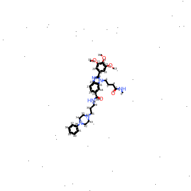 CNC(=O)CCCn1c(-c2cc(OC)c(OC)c(OC)c2)nc2ccc(C(=O)NCCCN3CCN(c4ccccc4)CC3)cc21